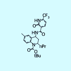 CCCC1CC(NC(=O)c2ccc(C(F)(F)F)[nH]c2=O)c2cc(C)ccc2N1C(=O)OC(C)(C)C